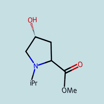 COC(=O)C1C[C@@H](O)CN1C(C)C